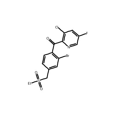 CCS(=O)(=O)Cc1ccc(C(=O)c2ncc(F)cc2Cl)c(Br)c1